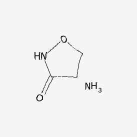 N.O=C1CCON1